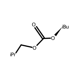 C[CH][C@H](C)OC(=O)OCC(C)C